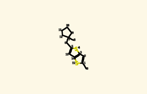 Cc1cc2sc(CC3(C)CCCC3)cc2s1